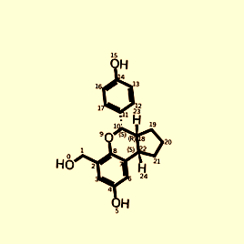 OCc1cc(O)cc2c1O[C@H](c1ccc(O)cc1)[C@@H]1CCC[C@H]21